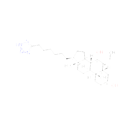 CC[C@H]1[C@@H](O)[C@@H]2[C@H](CC[C@]3(C)[C@@H](CCCCCCc4nn[nH]n4)CC[C@@H]23)[C@@]2(C)CC[C@@H](O)C[C@@H]12